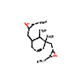 CCCCCC1OC1CC1CC=CC(CC2OC2CCCCC)(C(=O)O)C1C(=O)O